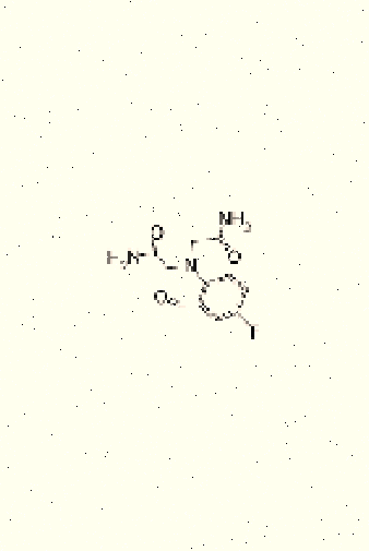 NC(=O)CN(CC(N)=O)c1ccc(F)cc1C=O